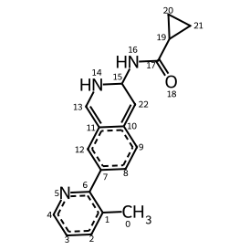 Cc1cccnc1-c1ccc2c(c1)=CNC(NC(=O)C1CC1)C=2